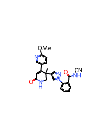 COc1ccc(C2=CC(=O)NCC2(C)c2cnn(-c3ccccc3C(=O)NC#N)c2)cn1